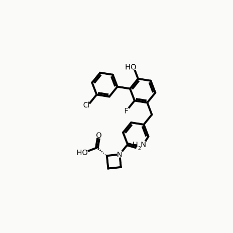 C=C(/C=C\C(=C/N)Cc1ccc(O)c(-c2cccc(Cl)c2)c1F)N1CC[C@@H]1C(=O)O